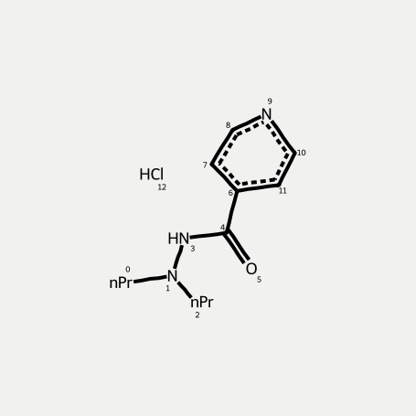 CCCN(CCC)NC(=O)c1ccncc1.Cl